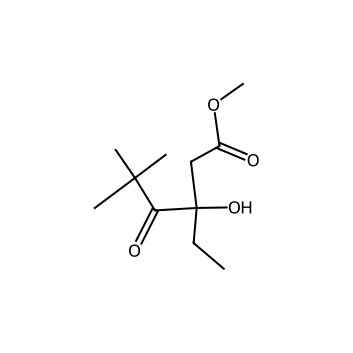 CCC(O)(CC(=O)OC)C(=O)C(C)(C)C